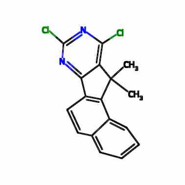 CC1(C)c2c(Cl)nc(Cl)nc2-c2ccc3ccccc3c21